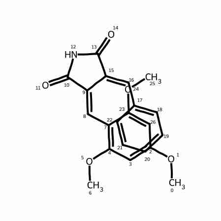 COc1cc(OC)c(/C=C2/C(=O)NC(=O)/C2=C/c2ccccc2)c(OC)c1